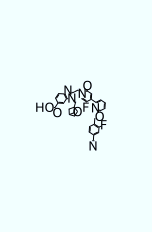 N#Cc1ccc(COc2cccc(-c3cc(=O)n(Cc4nc5ccc(C(=O)O)cc5n4CC45CC(CO4)C5)cc3F)n2)c(F)c1